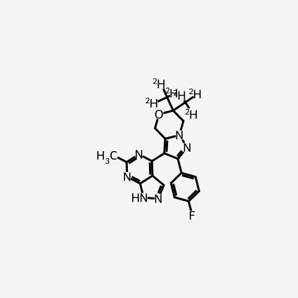 [2H]C([2H])([2H])C1(C([2H])([2H])[2H])Cn2nc(-c3ccc(F)cc3)c(-c3nc(C)nc4[nH]ncc34)c2CO1